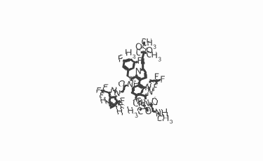 CNCC(=O)N(c1nn(CC(F)(F)F)c2c(-c3ccc(C#CC(C)(C)S(C)(=O)=O)nc3[C@H](Cc3cc(F)cc(F)c3)NC(=O)Cn3nc(C(F)(F)F)c4c3C(F)(F)[C@@H]3C[C@H]43)ccc(Cl)c12)S(C)(=O)=O